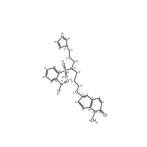 Cn1c(=O)ccc2cc(OCCCN(CCCn3ccnc3)S(=O)(=O)c3ccccc3[N+](=O)[O-])ccc21